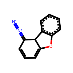 [N-]=[N+]=C1C=CC=C2Oc3ccccc3C21